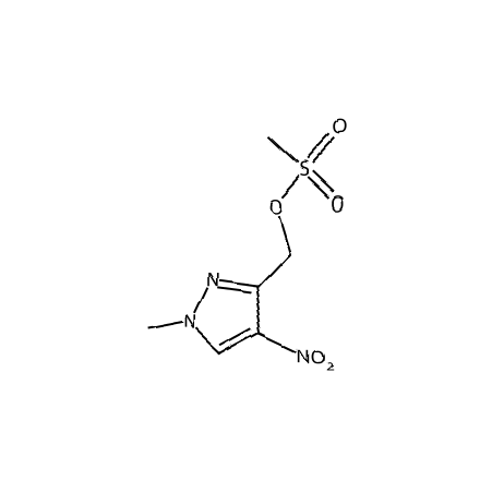 Cn1cc([N+](=O)[O-])c(COS(C)(=O)=O)n1